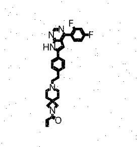 C=CC(=O)N1CC2(CCN(CCc3ccc(-c4cc5c(-c6ccc(F)cc6F)ncnc5[nH]4)cc3)CC2)C1